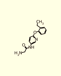 CCc1ccccc1Oc1ccc(NC(=O)CN)cn1